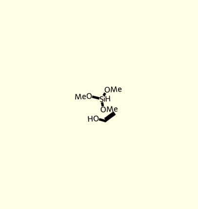 C=CO.CO[SiH](OC)OC